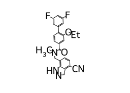 CCOc1cc(C(=O)N(C)Cc2ccc(C#N)c3cn[nH]c23)ccc1-c1cc(F)cc(F)c1